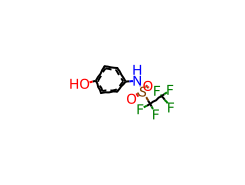 O=S(=O)(Nc1ccc(O)cc1)C(F)(F)C(F)(F)F